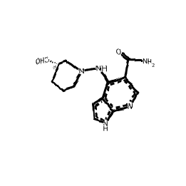 NC(=O)c1cnc2[nH]ccc2c1NN1CCC[C@H](C=O)C1